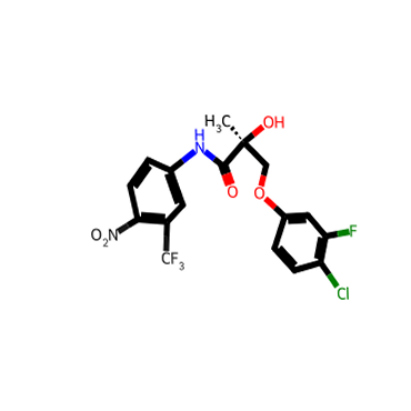 C[C@](O)(COc1ccc(Cl)c(F)c1)C(=O)Nc1ccc([N+](=O)[O-])c(C(F)(F)F)c1